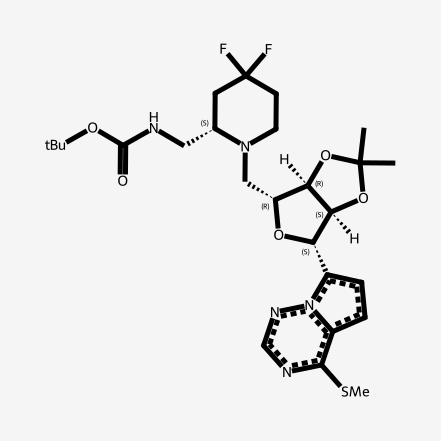 CSc1ncnn2c([C@@H]3O[C@H](CN4CCC(F)(F)C[C@H]4CNC(=O)OC(C)(C)C)[C@H]4OC(C)(C)O[C@H]43)ccc12